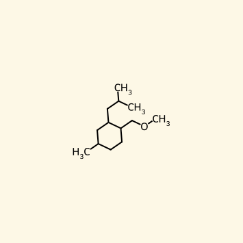 COCC1CCC(C)CC1CC(C)C